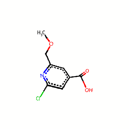 COCc1cc(C(=O)O)cc(Cl)n1